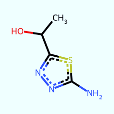 CC(O)c1nnc(N)s1